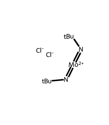 CC(C)(C)[N]=[Mo+2]=[N]C(C)(C)C.[Cl-].[Cl-]